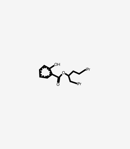 CC(C)CCC(CC(C)C)OC(=O)c1ccccc1O